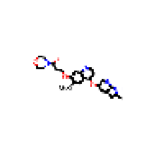 COc1cc2c(Oc3cnc4[nH]c(C)cc4c3)ccnc2cc1OCCC(=O)N1CCOCC1